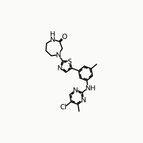 Cc1cc(Nc2ncc(Cl)c(C)n2)cc(-c2cnc(N3CCCNC(=O)C3)s2)c1